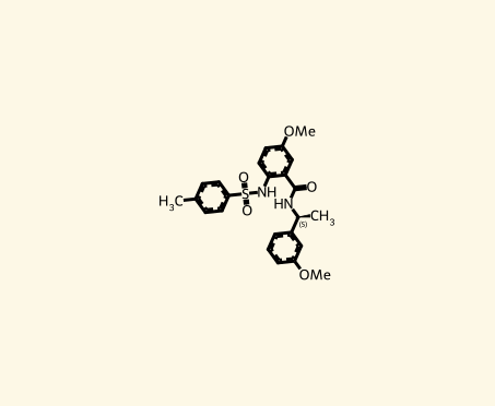 COc1cccc([C@H](C)NC(=O)c2cc(OC)ccc2NS(=O)(=O)c2ccc(C)cc2)c1